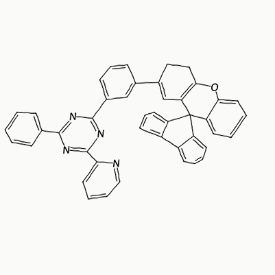 C1=C(c2cccc(-c3nc(-c4ccccc4)nc(-c4ccccn4)n3)c2)CCC2=C1C1(c3ccccc3O2)c2ccccc2-c2ccccc21